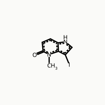 Cn1c(=O)ccc2[nH]cc(I)c21